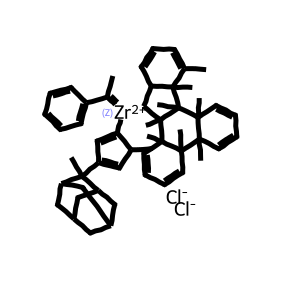 CC1=CC=CC2[CH](/[Zr+2]([C]3=CC(C4(C)C5CC6CC(C5)CC4C6)=CC3C)=[C](\C)c3ccccc3)C3(C)C4(C)C=CC=CC4(C)C4(C)C=CC=CC4(C)C3(C)C12C.[Cl-].[Cl-]